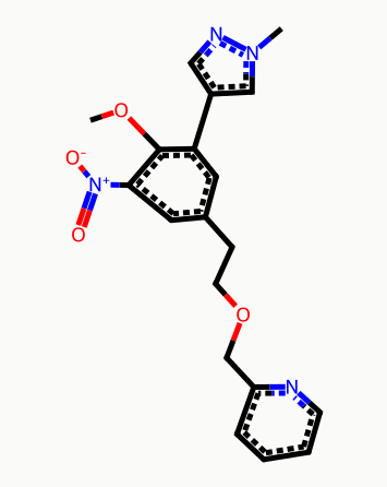 COc1c(-c2cnn(C)c2)cc(CCOCc2ccccn2)cc1[N+](=O)[O-]